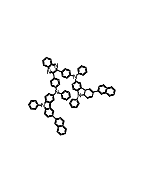 C1=CC2C(C=C1c1ccc3ccccc3c1)c1cc(N(c3ccccc3)c3ccc(-c4nc5ccccc5nc4-c4ccc(N(c5ccccc5)c5ccc6c(c5)c5cc(-c7ccc8ccccc8c7)ccc5n6-c5ccccc5)cc4)cc3)ccc1N2c1ccccc1